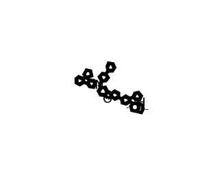 C[C@@H]1CC2C[C@H](C1)[C@@]1(c3ccccc3-c3cc(-c4ccc5c(c4)oc4ccc(N(c6ccc(-c7ccccc7)cc6)c6ccc7c(c6)C6(CCCC6)c6ccccc6-7)cc45)ccc31)[C@@H](C)C2